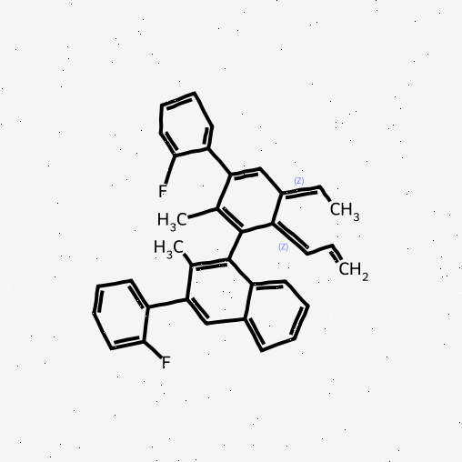 C=C/C=c1/c(-c2c(C)c(-c3ccccc3F)cc3ccccc23)c(C)c(-c2ccccc2F)c/c1=C/C